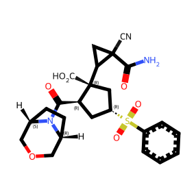 N#CC1(C(N)=O)CC1[C@]1(C(=O)O)C[C@H](S(=O)(=O)c2ccccc2)C[C@H]1C(=O)N1[C@@H]2CC[C@H]1COC2